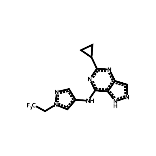 FC(F)(F)Cn1cc(Nc2nc(C3CC3)nc3cn[nH]c23)cn1